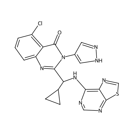 O=c1c2c(Cl)cccc2nc(C(Nc2ncnc3scnc23)C2CC2)n1-c1cn[nH]c1